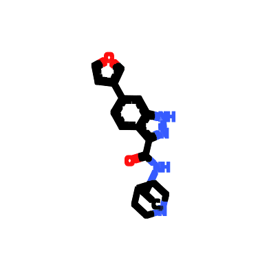 O=C(NC1CN2CCC1CC2)c1n[nH]c2cc(-c3ccoc3)ccc12